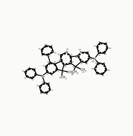 CC1(C)c2cc(N(c3ccccc3)c3ccccc3)cc(-c3ccccc3)c2-c2cnc3c(c21)C(C)(C)c1cc(N(c2ccccc2)c2ccccc2)cnc1-3